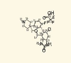 CC(OCC1(c2ccc(F)cc2)CCN(C)CC1)c1cc(Cl)cc2[nH]c(=O)n(C)c12.O=C(O)C(F)(F)F